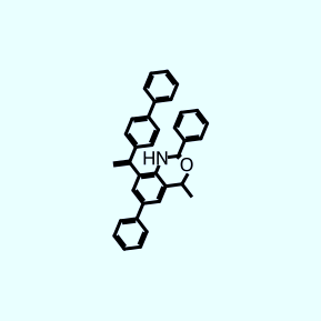 C=C(c1ccc(-c2ccccc2)cc1)c1cc(-c2ccccc2)cc(C(C)C)c1NC(=O)c1ccccc1